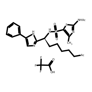 CC(=O)CCCCC[C@H](NS(=O)(=O)c1sc(NC(C)=O)nc1C)c1ncc(-c2ccccc2)[nH]1.O=C(O)C(F)(F)F